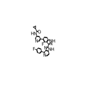 O=C(Nc1cncc(-c2ccc3[nH]nc(-c4nc5c(-c6ccc(F)cc6)nccc5[nH]4)c3c2F)c1)C1CC1